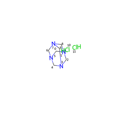 C1N2CN3CN1CN(C2)C3.Cl.Cl